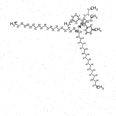 CCCCC1=C(c2cccc(C)c2)[N+](=[N-])C(c2cccc(C)c2)=C1CC.CCCCCCCCCCCCCCCCCCCC[CH2][Ni][CH2]CCCCCCCCCCCCCCCCCCCC